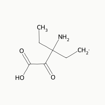 [CH2]CC(N)(CC)C(=O)C(=O)O